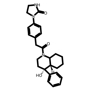 O=C1NCCN1c1ccc(CC(=O)N2CC[C@](O)(c3ccccc3)[C@H]3CCCCC32)cc1